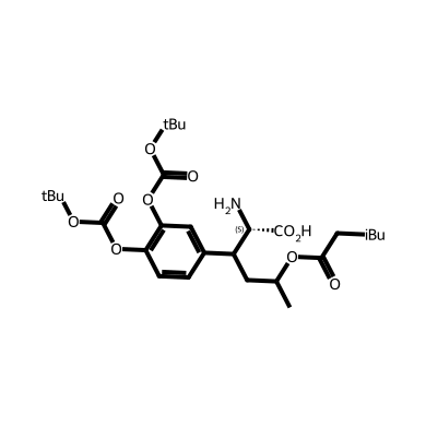 CCC(C)CC(=O)OC(C)CC(c1ccc(OC(=O)OC(C)(C)C)c(OC(=O)OC(C)(C)C)c1)[C@H](N)C(=O)O